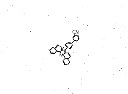 CC12CC=c3ccccc3=C1N=c1c3c(ccc1=C2c1ccc(-c2cccc(C#N)c2)cc1)CCC=C3